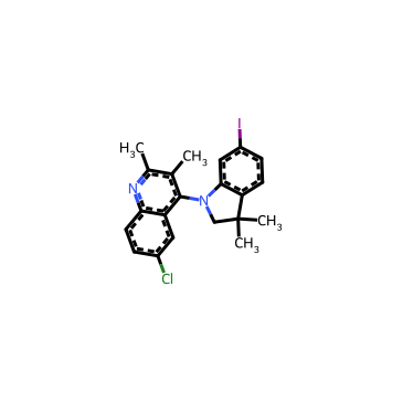 Cc1nc2ccc(Cl)cc2c(N2CC(C)(C)c3ccc(I)cc32)c1C